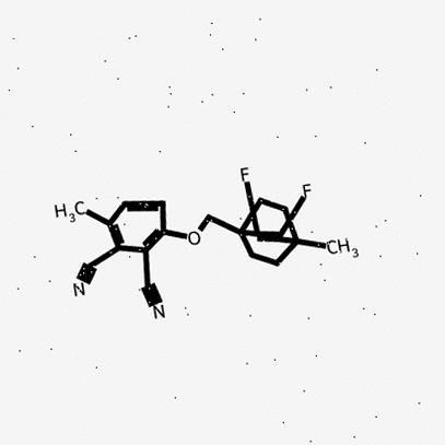 Cc1ccc(OCC23CCC(C)(CC2)C(F)=C3F)c(C#N)c1C#N